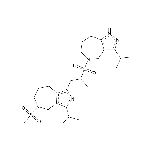 CC(C)c1n[nH]c2c1CN(S(=O)(=O)C(C)Cn1nc(C(C)C)c3c1CCCN(S(C)(=O)=O)C3)CCC2